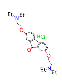 CCN(CC)CCOc1ccc2c(c1)C(=O)c1cc(OCCN(CC)CC)ccc1-2.Cl